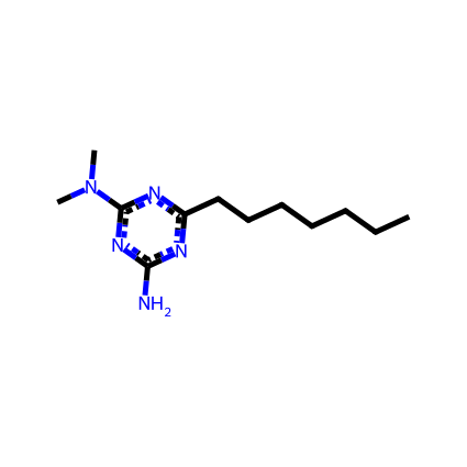 CCCCCCCc1nc(N)nc(N(C)C)n1